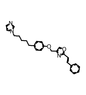 C(=Cc1nc(COc2ccc(CCCCCn3ccnc3)cc2)co1)c1ccccc1